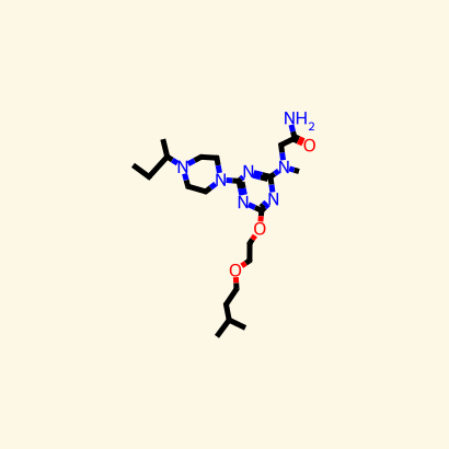 CCC(C)N1CCN(c2nc(OCCOCCC(C)C)nc(N(C)CC(N)=O)n2)CC1